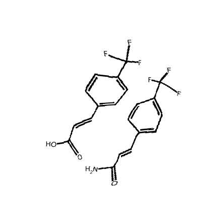 NC(=O)C=Cc1ccc(C(F)(F)F)cc1.O=C(O)C=Cc1ccc(C(F)(F)F)cc1